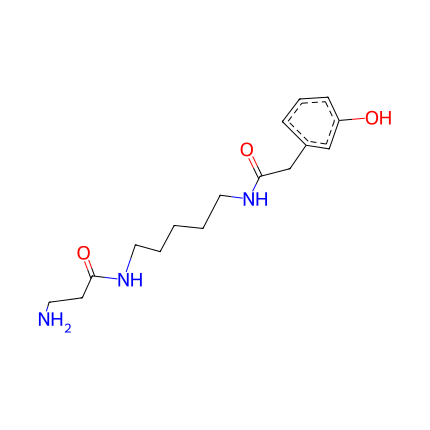 NCCC(=O)NCCCCCNC(=O)Cc1cccc(O)c1